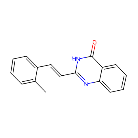 Cc1ccccc1C=Cc1nc2ccccc2c(=O)[nH]1